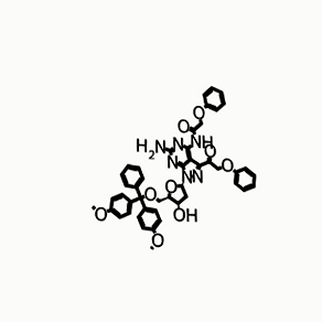 COc1ccc(C(OC[C@H]2O[C@H](n3nc(C(=O)COc4ccccc4)c4c(NC(=O)COc5ccccc5)nc(N)nc43)C[C@@H]2O)(c2ccccc2)c2ccc(OC)cc2)cc1